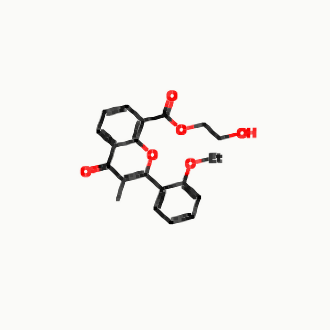 CCOc1ccccc1-c1oc2c(C(=O)OCCO)cccc2c(=O)c1C